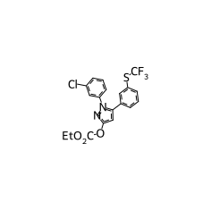 CCOC(=O)Oc1cc(-c2cccc(SC(F)(F)F)c2)n(-c2cccc(Cl)c2)n1